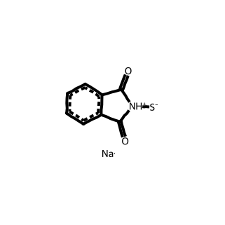 O=C1c2ccccc2C(=O)[NH+]1[S-].[Na]